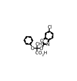 CC(Oc1ccccc1)(Oc1nc2ccc(Cl)cc2o1)C(=O)O